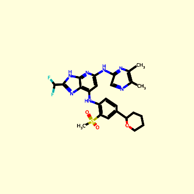 Cc1ncc(Nc2cc(Nc3ccc(C4CCCCO4)cc3S(C)(=O)=O)c3nc(C(F)F)[nH]c3n2)nc1C